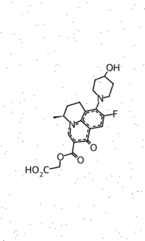 C[C@H]1CCc2c(N3CCC(O)CC3)c(F)cc3c(=O)c(C(=O)OCC(=O)O)cn1c23